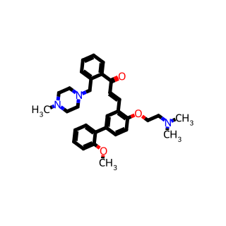 COc1ccccc1-c1ccc(OCCN(C)C)c(C=CC(=O)c2ccccc2CN2CCN(C)CC2)c1